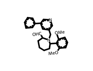 COc1cccc(OC)c1C1CCCCC(C=O)N1Cc1cncc(-c2ccccc2)c1